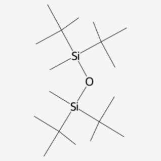 CC(C)(C)[Si](C)(O[Si](C)(C(C)(C)C)C(C)(C)C)C(C)(C)C